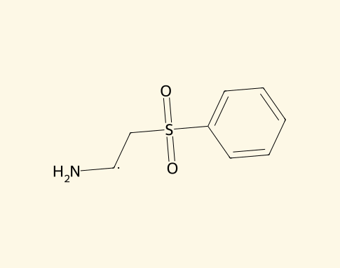 N[CH]CS(=O)(=O)c1ccccc1